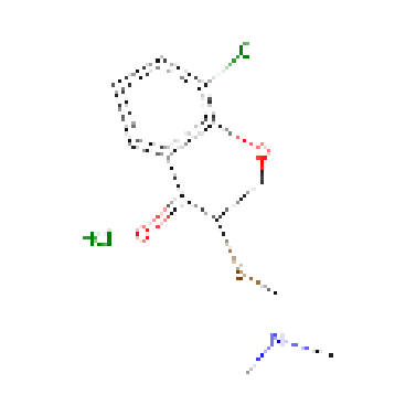 CN(C)CSC1COc2c(Cl)cccc2C1=O.Cl